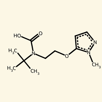 Cn1nccc1OCCN(C(=O)O)C(C)(C)C